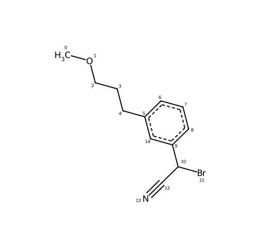 COCCCc1cccc(C(Br)C#N)c1